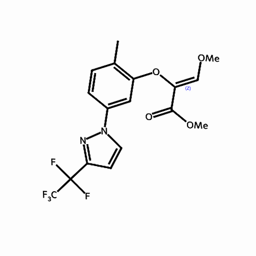 CO/C=C(\Oc1cc(-n2ccc(C(F)(F)C(F)(F)F)n2)ccc1C)C(=O)OC